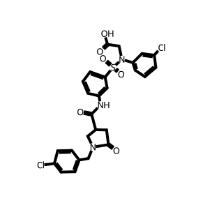 O=C(O)CN(c1cccc(Cl)c1)S(=O)(=O)c1cccc(NC(=O)C2CC(=O)N(Cc3ccc(Cl)cc3)C2)c1